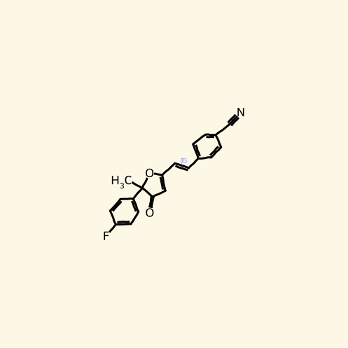 CC1(c2ccc(F)cc2)OC(/C=C/c2ccc(C#N)cc2)=CC1=O